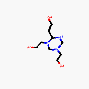 OCCC1NCN(CCO)CN1CCO